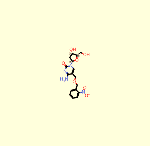 Nc1nc(=O)n([C@H]2C[C@H](O)[C@@H](CO)O2)cc1COCc1ccccc1[N+](=O)[O-]